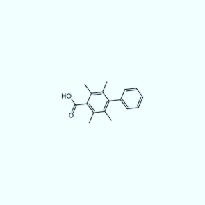 Cc1c(C)c(-c2ccccc2)c(C)c(C)c1C(=O)O